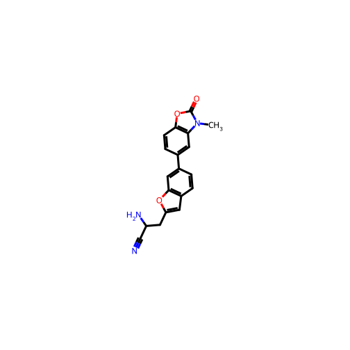 Cn1c(=O)oc2ccc(-c3ccc4cc(CC(N)C#N)oc4c3)cc21